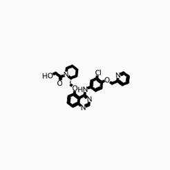 O=C(CO)N1CCCC[C@@H]1COc1cccc2ncnc(Nc3ccc(OCc4ccccn4)c(Cl)c3)c12